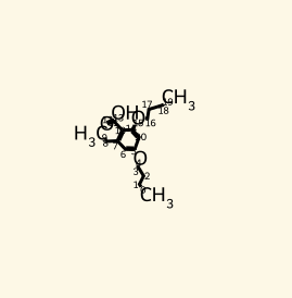 CCCCOc1cc(CC)c(C(=O)O)c(OCCCC)c1